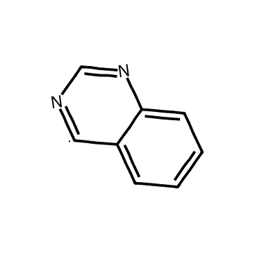 [c]1ncnc2ccccc12